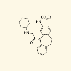 CCOC(=O)Nc1ccc2c(c1)N(C(=O)CNC1CCCCC1)c1ccccc1CC2